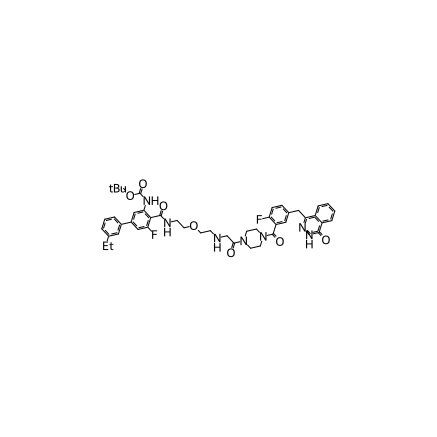 CCc1cccc(-c2cc(F)c(C(=O)NCCOCCNCC(=O)N3CCN(C(=O)c4cc(Cc5n[nH]c(=O)c6ccccc56)ccc4F)CC3)c(NC(=O)OC(C)(C)C)c2)c1